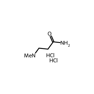 CNCCC(N)=O.Cl.Cl